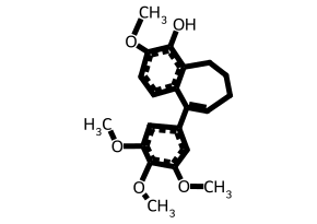 COc1ccc2c(c1O)CCCC=C2c1cc(OC)c(OC)c(OC)c1